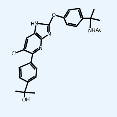 CC(=O)NC(C)(C)c1ccc(Oc2nc3nc(-c4ccc(C(C)(C)O)cc4)c(Cl)cc3[nH]2)cc1